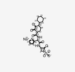 O=C(NC1CN(S(=O)(=O)[O-])C1=O)C(NC(=O)N1CCC(C2CCCCC2)C(=O)C1=O)c1cccs1.[Na+]